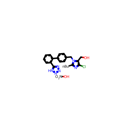 CCCCc1nc(Cl)c(CO)n1Cc1ccc(-c2ccccc2-c2nnn[nH]2)cc1.O=[N+]([O-])O